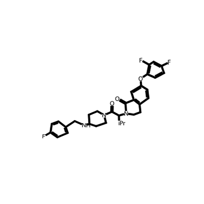 CC(C)C(C(=O)N1CCC(NCc2ccc(F)cc2)CC1)N1CCc2ccc(Oc3ccc(F)cc3F)cc2C1=O